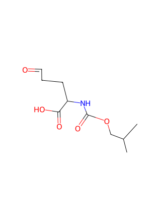 CC(C)COC(=O)NC(CCC=O)C(=O)O